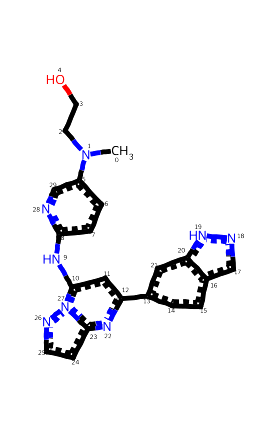 CN(CCO)c1ccc(Nc2cc(-c3ccc4cn[nH]c4c3)nc3ccnn23)nc1